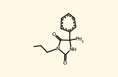 CCCN1C(=O)NC(P)(c2ccccc2)C1=O